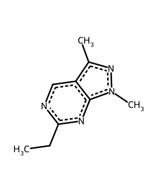 CCc1ncc2c(C)nn(C)c2n1